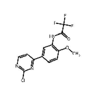 COc1ccc(-c2ccnc(Cl)n2)cc1NC(=O)C(F)(F)F